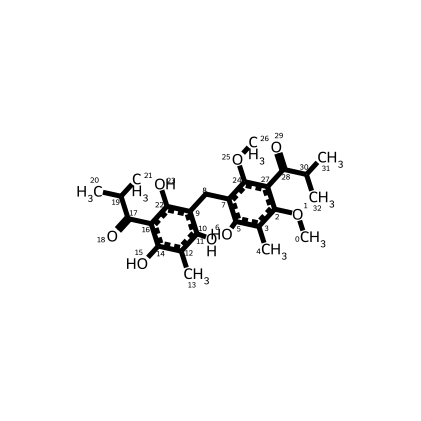 COc1c(C)c(O)c(Cc2c(O)c(C)c(O)c(C(=O)C(C)C)c2O)c(OC)c1C(=O)C(C)C